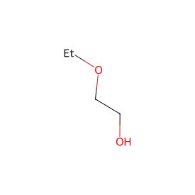 [CH2]COCCO